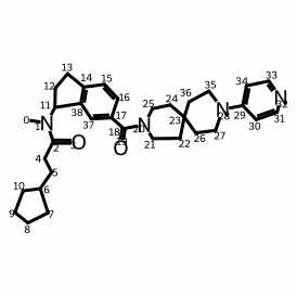 CN(C(=O)CCC1CCCC1)C1CCc2ccc(C(=O)N3CCC4(CC3)CCN(c3ccncc3)CC4)cc21